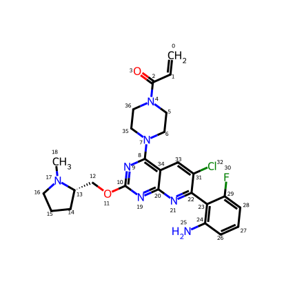 C=CC(=O)N1CCN(c2nc(OC[C@@H]3CCCN3C)nc3nc(-c4c(N)cccc4F)c(Cl)cc23)CC1